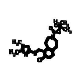 Cc1nc(SCc2c(Cl)ccc3c2CCN(C(=O)OC(C)(C)C)CC3)cn1C